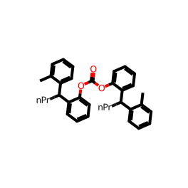 CCCC(c1ccccc1C)c1ccccc1OC(=O)Oc1ccccc1C(CCC)c1ccccc1C